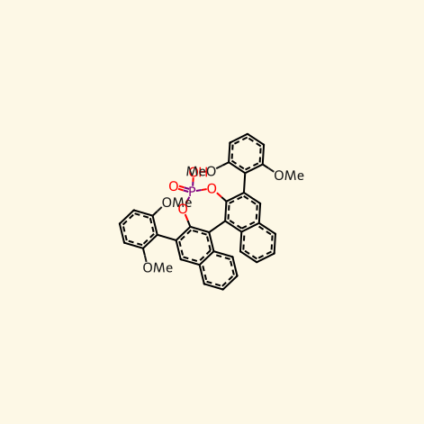 COc1cccc(OC)c1-c1cc2ccccc2c2c1OP(=O)(O)Oc1c(-c3c(OC)cccc3OC)cc3ccccc3c1-2